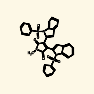 CN1C(=O)C(c2cc3ccccc3n2S(=O)(=O)c2ccccc2)=C(c2cc3ccccc3n2S(=O)(=O)c2ccccc2)C1=O